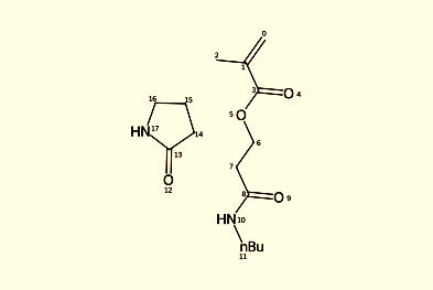 C=C(C)C(=O)OCCC(=O)NCCCC.O=C1CCCN1